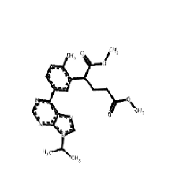 COC(=O)CCC(C(=O)OC)c1cc(-c2ncnc3c2ncn3C(C)C)ccc1C